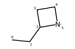 CCC1CC[N]1